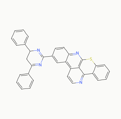 c1ccc(C2=NC(c3ccc4nc5c6c(nccc6c4c3)-c3ccccc3S5)=NC(c3ccccc3)C2)cc1